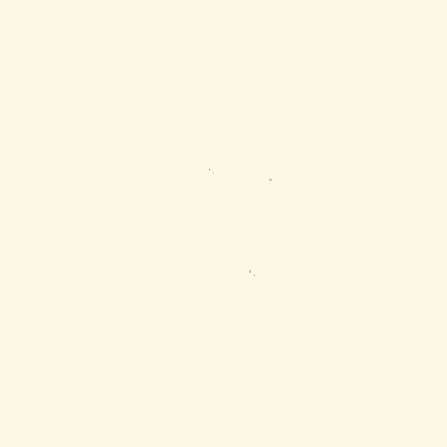 Oc1cc2c(c(O)n1)C1CCCN1CC2